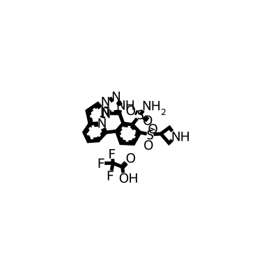 NS(=O)(=O)c1c(S(=O)(=O)C2CNC2)ccc(-c2cccc3ccnn23)c1-c1nnn[nH]1.O=C(O)C(F)(F)F